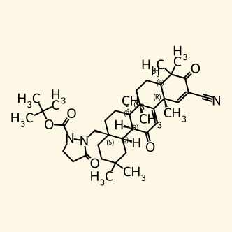 CC1(C)CC[C@]2(CN3C(=O)CCN3C(=O)OC(C)(C)C)CC[C@]3(C)[C@H](C(=O)C=C4[C@@]5(C)C=C(C#N)C(=O)C(C)(C)[C@@H]5CC[C@]43C)[C@@H]2C1